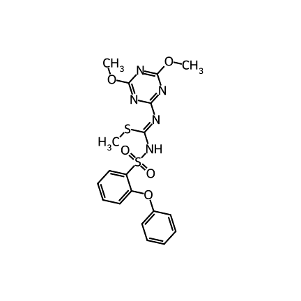 COc1nc(N=C(NS(=O)(=O)c2ccccc2Oc2ccccc2)SC)nc(OC)n1